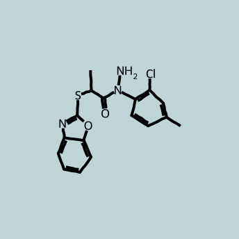 Cc1ccc(N(N)C(=O)C(C)Sc2nc3ccccc3o2)c(Cl)c1